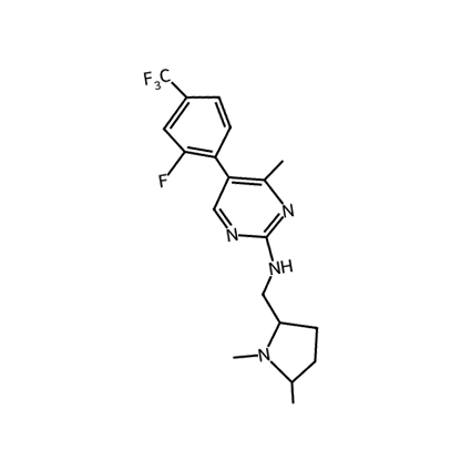 Cc1nc(NCC2CCC(C)N2C)ncc1-c1ccc(C(F)(F)F)cc1F